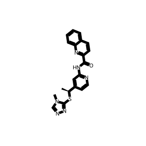 C[C@H](Sc1nncn1C)c1ccnc(NC(=O)c2ccc3ccccc3n2)c1